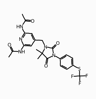 CC(=O)Nc1cc(CN2C(=O)N(c3ccc(SC(F)(F)F)cc3)C(=O)C2(C)C)cc(NC(C)=O)n1